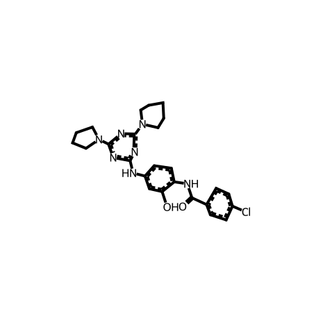 O=C(Nc1ccc(Nc2nc(N3CCCCC3)nc(N3CCCC3)n2)cc1O)c1ccc(Cl)cc1